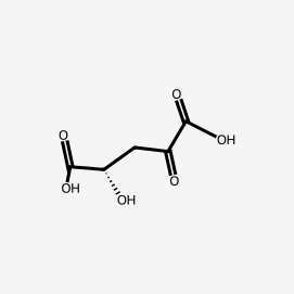 O=C(O)C(=O)C[C@H](O)C(=O)O